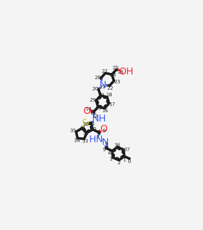 Cc1ccc(C=NNC(=O)c2c(NC(=O)c3cccc(CN4CCC(CO)CC4)c3)sc3c2CCC3)cc1